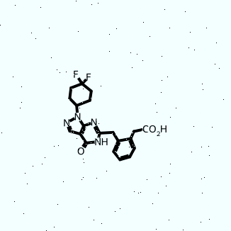 O=C(O)Cc1ccccc1Cc1nc2c(cnn2C2CCC(F)(F)CC2)c(=O)[nH]1